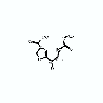 CC[C@@H](C1=N[C@H](C(=O)OC)CO1)[C@@H](C)NC(=O)OC(C)(C)C